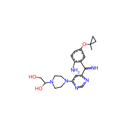 CC1(Oc2ccc(N)c(C(=N)c3cc(N4CCN(C(O)CO)CC4)ncn3)c2)CC1